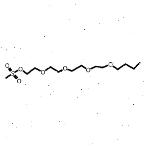 CCCCOCCOCCOCCOCCOS(C)(=O)=O